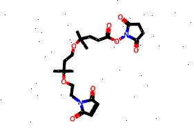 CC(C)(CCOC(C)(C)CCC(=O)ON1C(=O)CCC1=O)OCCN1C(=O)C=CC1=O